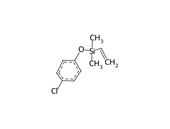 C=C[Si](C)(C)Oc1ccc(Cl)cc1